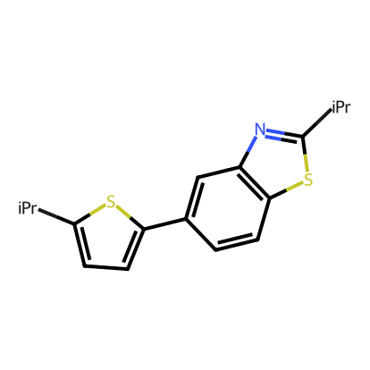 CC(C)c1ccc(-c2ccc3sc(C(C)C)nc3c2)s1